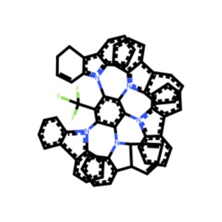 FC(F)(F)c1c(-n2c3c(c4ccccc42)CCC=C3)c(-n2c3ccccc3c3ccccc32)c(-n2c3ccccc3c3ccccc32)c(N2c3ccccc3C3C=CC=CC32)c1-n1c2ccccc2c2ccccc21